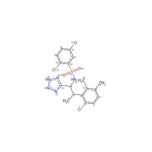 Cc1ccc(Cl)c(C(C)C(NS(=O)(=O)c2cc(Cl)ccc2Cl)c2nn[nH]n2)c1C